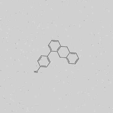 Oc1ccc(-c2cccc3c2Cc2ccccc2C3)cc1